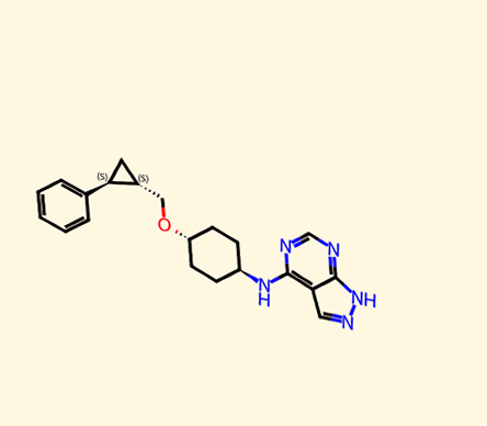 c1ccc([C@H]2C[C@@H]2CO[C@H]2CC[C@H](Nc3ncnc4[nH]ncc34)CC2)cc1